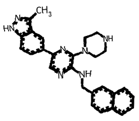 Cc1n[nH]c2ccc(-c3cnc(NCc4ccc5ccccc5c4)c(N4CCNCC4)n3)cc12